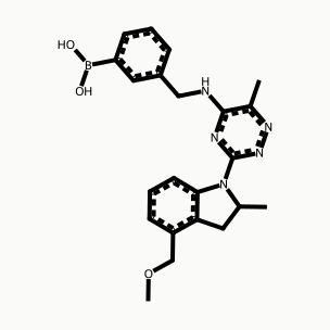 COCc1cccc2c1CC(C)N2c1nnc(C)c(NCc2cccc(B(O)O)c2)n1